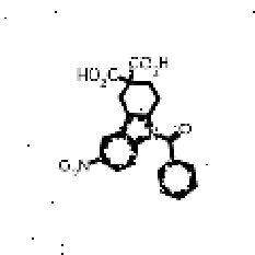 O=C(c1ccccc1)n1c2c(c3cc([N+](=O)[O-])ccc31)CC(C(=O)O)(C(=O)O)CC2